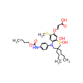 CCCCOC(=O)Nc1ccc(N2CC(CCCC)(CCCC)CS(O)(O)c3cc(OC=CC(=O)O)c(SC)cc32)cc1